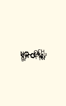 C[C@@H](Cn1cnnn1)Oc1cc(-c2ccc3ncc(Br)n3n2)ccc1F